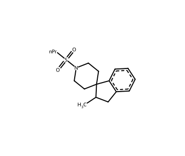 CCCS(=O)(=O)N1CCC2(CC1)c1ccccc1CC2C